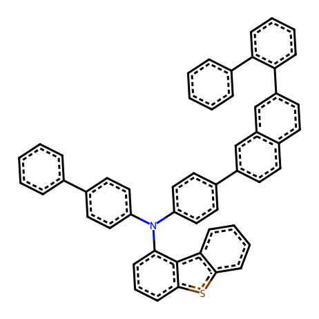 c1ccc(-c2ccc(N(c3ccc(-c4ccc5ccc(-c6ccccc6-c6ccccc6)cc5c4)cc3)c3cccc4sc5ccccc5c34)cc2)cc1